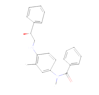 CN(C(=O)c1ccccc1)c1ccc(NC[C@@H](O)c2ccccc2)c([N+](=O)[O-])c1